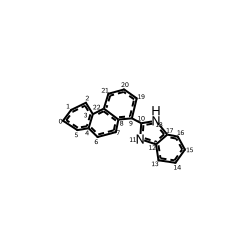 c1ccc2c(c1)ccc1c(-c3nc4ccccc4[nH]3)cccc12